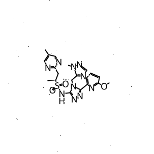 COc1cccc(-c2nnc(NS(=O)(=O)[C@@H](C)Cc3ncc(C)cn3)n2[C@H](C)c2ncnn2C)n1